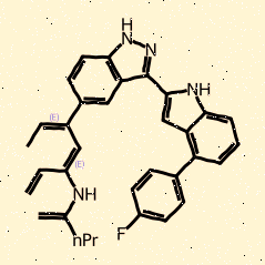 C=C/C(=C\C(=C/C)c1ccc2[nH]nc(-c3cc4c(-c5ccc(F)cc5)cccc4[nH]3)c2c1)NC(=C)CCC